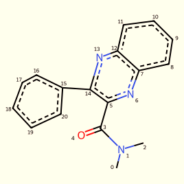 CN(C)C(=O)c1nc2ccccc2nc1-c1ccccc1